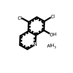 Oc1c(Cl)cc(Cl)c2cccnc12.[AlH3]